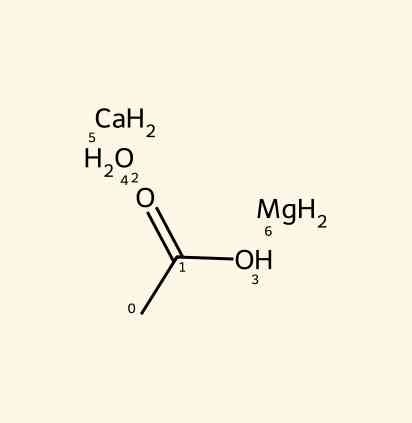 CC(=O)O.O.[CaH2].[MgH2]